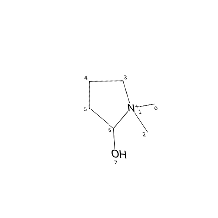 C[N+]1(C)CCCC1O